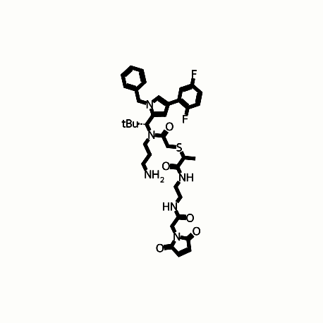 CC(SCC(=O)N(CCCN)[C@@H](c1cc(-c2cc(F)ccc2F)cn1Cc1ccccc1)C(C)(C)C)C(=O)NCCNC(=O)CN1C(=O)C=CC1=O